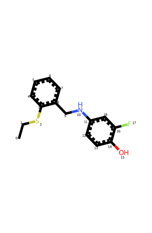 CCSc1ccccc1CNc1ccc(O)c(F)c1